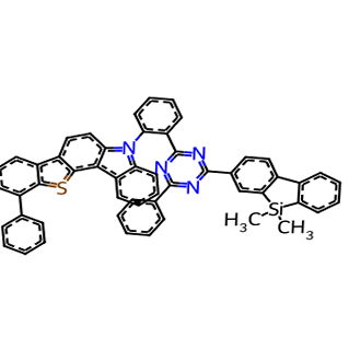 C[Si]1(C)c2ccccc2-c2ccc(-c3nc(-c4ccccc4)nc(-c4ccccc4-n4c5ccccc5c5c6sc7c(-c8ccccc8)cccc7c6ccc54)n3)cc21